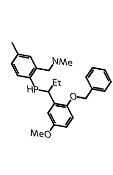 CCC(Pc1ccc(C)cc1CNC)c1cc(OC)ccc1OCc1ccccc1